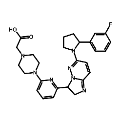 O=C(O)CN1CCN(c2cccc(C3CN=C4C=CC(N5CCCC5c5cccc(F)c5)=NN43)n2)CC1